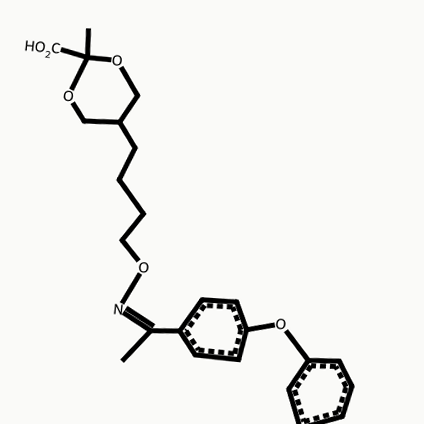 CC(=NOCCCCC1COC(C)(C(=O)O)OC1)c1ccc(Oc2ccccc2)cc1